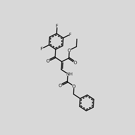 CCOC(=O)C(=CNC(=O)OCc1ccccc1)C(=O)c1cc(F)c(F)cc1F